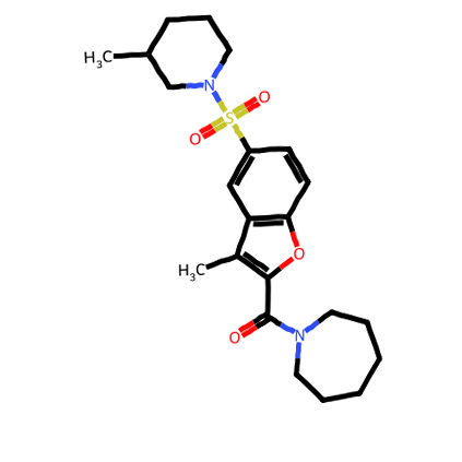 Cc1c(C(=O)N2CCCCCC2)oc2ccc(S(=O)(=O)N3CCCC(C)C3)cc12